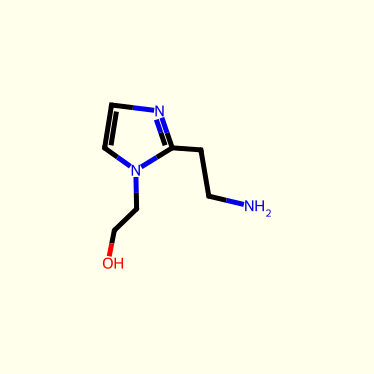 NCCc1nccn1CCO